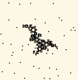 CC[C@@H]1C[C@H](N(Cc2cc(C(F)(F)F)cc(C(F)(F)F)c2)c2ncc(-c3ccn(C)c3)cn2)C[C@H](CC)N1C(=O)O[C@H]1CC[C@H](C(=O)O)CC1